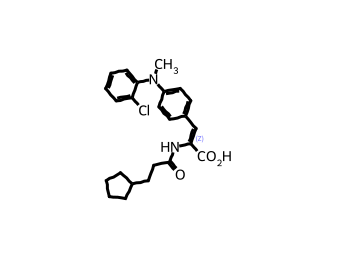 CN(c1ccc(/C=C(\NC(=O)CCC2CCCC2)C(=O)O)cc1)c1ccccc1Cl